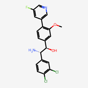 COc1cc([C@@H](O)[C@@H](N)c2ccc(Cl)c(Cl)c2)ccc1-c1cncc(F)c1